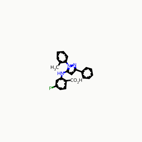 Cc1ccccc1-n1nc(-c2ccccc2)cc1Nc1cc(F)ccc1C(=O)O